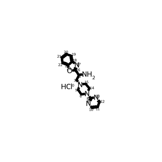 Cl.NC(CN1CCN(c2ncccn2)CC1)c1nc2ccccc2o1